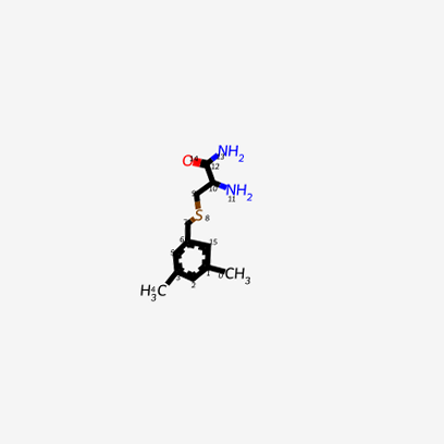 Cc1cc(C)cc(CSCC(N)C(N)=O)c1